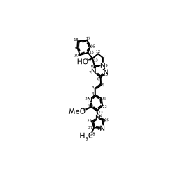 COc1nc(/C=C/c2nc3n(n2)CCC3(O)c2ccccc2)ccc1-n1cnc(C)c1